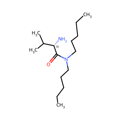 CCCCCN(CCCCC)C(=O)[C@@H](N)C(C)C